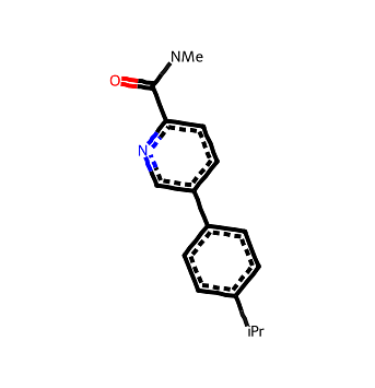 CNC(=O)c1ccc(-c2ccc(C(C)C)cc2)cn1